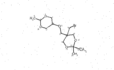 CC1OCC(OCC2(CBr)COC(C)(C)OC2)CO1